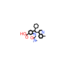 Cc1cccc2c(-c3c(C4CCCCC4)c4ccc(C(=O)O)cc4n3CC(=O)N(C)C)ccnc12